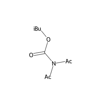 CCC(C)OC(=O)N(C(C)=O)C(C)=O